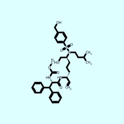 C=C[C@@H](CCC[C@@H](CO)N(CCC(C)C)S(=O)(=O)c1ccc(CO)cc1)NC(=O)[C@@H](NC(=O)OC)C(c1ccccc1)c1ccccc1